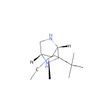 CC[C@]1(C)C(C(C)(C)C)C12[C@H]1CN[C@@H]2CN1